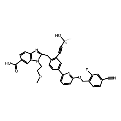 COCCn1c(Cc2ccc(-c3cccc(OCc4ccc(C#N)cc4F)n3)cc2C#C[C@@H](C)O)nc2ccc(C(=O)O)cc21